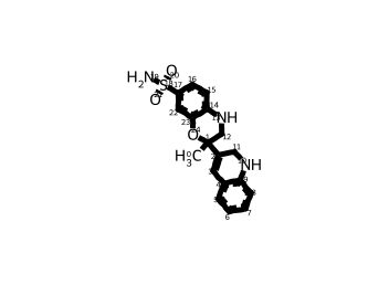 CC1(C2=Cc3ccccc3NC2)CNc2ccc(S(N)(=O)=O)cc2O1